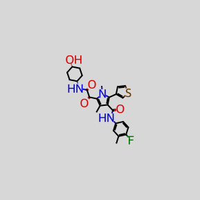 Cc1cc(NC(=O)c2c(C)c(C(=O)C(=O)N[C@H]3CC[C@@H](O)CC3)n(C)c2-c2ccsc2)ccc1F